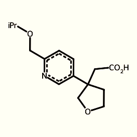 CC(C)OCc1ccc(C2(CC(=O)O)CCOC2)cn1